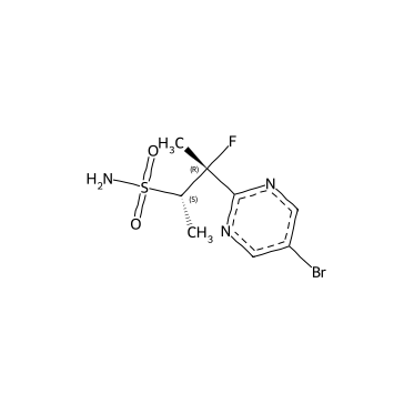 C[C@@H]([C@](C)(F)c1ncc(Br)cn1)S(N)(=O)=O